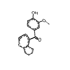 COc1cc(C(=O)c2ccnc3ccccc23)ccc1O